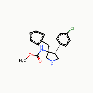 COC(=O)N[C@]1(Cc2ccccc2)CNC[C@H]1c1ccc(Cl)cc1